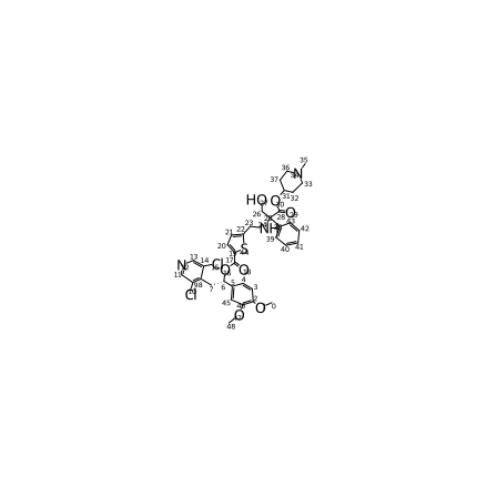 COc1ccc([C@H](Cc2c(Cl)cncc2Cl)OC(=O)c2ccc(CNC(CO)(C(=O)OC3CCN(C)CC3)c3ccccc3)s2)cc1OC